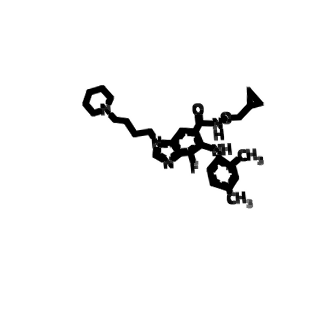 Cc1ccc(Nc2c(C(=O)NOCC3CC3)cc3c(ncn3CCCCN3CCCCC3)c2F)c(C)c1